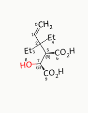 C=CC(CC)(CC)[C@@H](C(=O)O)[C@H](O)C(=O)O